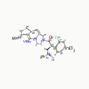 CNC1=C(C(=N)N2CCN(C(=O)[C@H](CN(C)C(C)C)c3ccc(C(F)(F)F)cc3F)CC2)[C@H](C)CC1